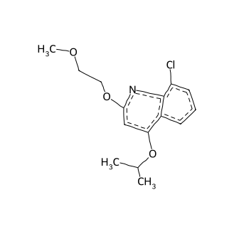 COCCOc1cc(OC(C)C)c2cccc(Cl)c2n1